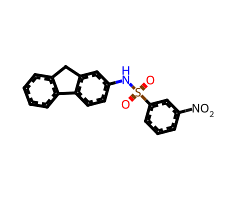 O=[N+]([O-])c1cccc(S(=O)(=O)Nc2ccc3c(c2)Cc2ccccc2-3)c1